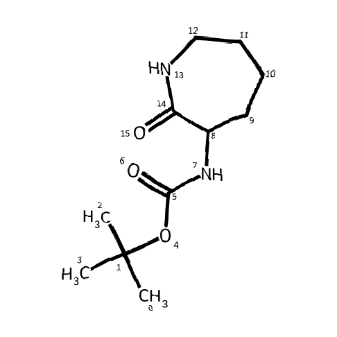 CC(C)(C)OC(=O)NC1CCCCNC1=O